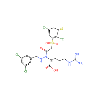 N=C(N)NCCC[C@@H](C(=O)O)N(NCc1cc(Cl)cc(Cl)c1)C(=O)CS(=O)(=O)C1=C(Cl)C(=S)CC(Cl)=C1